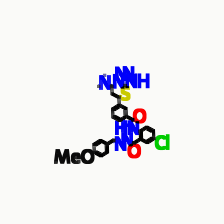 COc1ccc(C=NNC(=O)c2cc(Cl)ccc2NC(=O)c2cccc(C(CCN(C)C)Sc3nnn[nH]3)c2)cc1